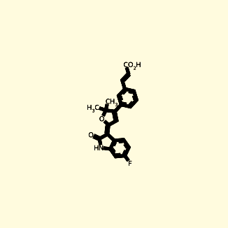 CC1(C)OC(=C2C(=O)Nc3cc(F)ccc32)C=C1c1cccc(C=CC(=O)O)c1